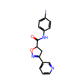 O=C(Nc1ccc(I)cc1)C1CC(c2cccnc2)=NO1